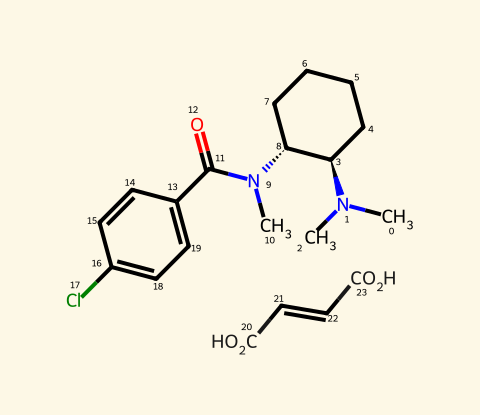 CN(C)[C@@H]1CCCC[C@H]1N(C)C(=O)c1ccc(Cl)cc1.O=C(O)C=CC(=O)O